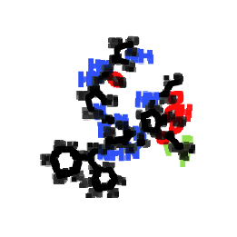 CCC(=O)N[C@H]1C[C@@H](n2cnc3c(NCC(c4ccccc4)c4ccccc4)nc(N4CC[C@@H](NC(=O)N[C@@H]5CCNC5)C4)nc32)[C@H](OC(=O)C(F)(F)F)[C@@H]1O